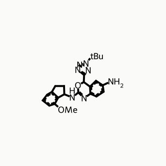 COc1cccc2c1C(NC1=Nc3ccc(N)cc3C(c3nnn(C(C)(C)C)n3)O1)CC2